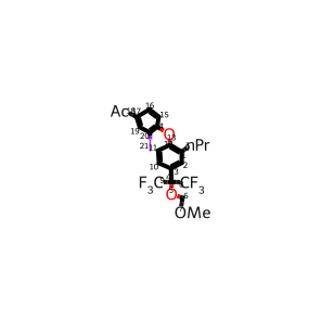 CCCc1cc(C(OCOC)(C(F)(F)F)C(F)(F)F)ccc1Oc1ccc(C(C)=O)cc1I